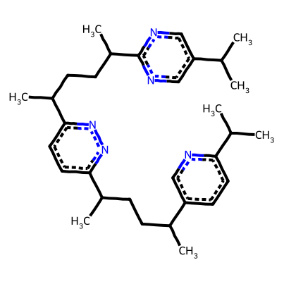 CC(C)c1cnc(C(C)CCC(C)c2ccc(C(C)CCC(C)c3ccc(C(C)C)nc3)nn2)nc1